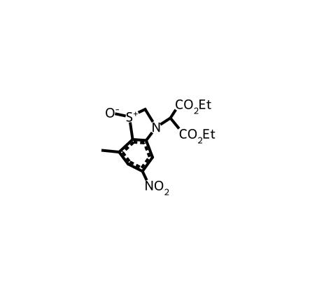 CCOC(=O)C(C(=O)OCC)N1C[S+]([O-])c2c(C)cc([N+](=O)[O-])cc21